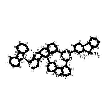 CC1(C)c2ccccc2-c2ccc(-c3nc(-c4ccccc4)nc(-c4cccc5oc6ccc(-c7cccc8oc9c(-n%10c%11ccccc%11c%11ccccc%11%10)cccc9c78)cc6c45)n3)cc21